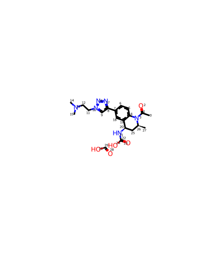 CC(=O)N1c2ccc(-c3cn(CCN(C)C)nn3)cc2[C@H](NC(=O)O)C[C@@H]1C.O=CO